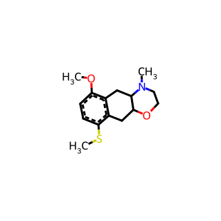 COc1ccc(SC)c2c1CC1C(C2)OCCN1C